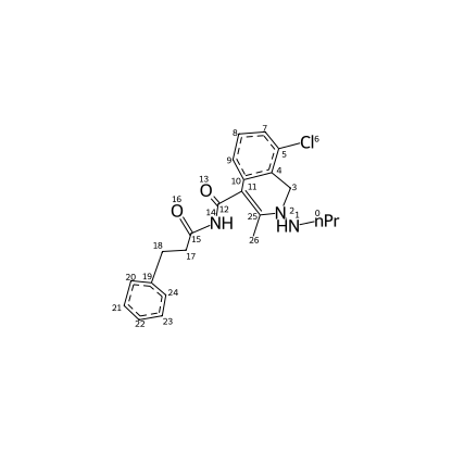 CCCNN1Cc2c(Cl)cccc2C(C(=O)NC(=O)CCc2ccccc2)=C1C